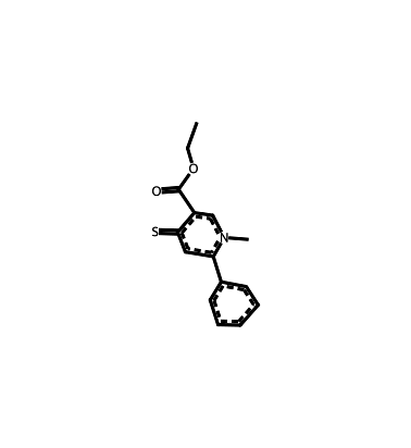 CCOC(=O)c1cn(C)c(-c2ccccc2)cc1=S